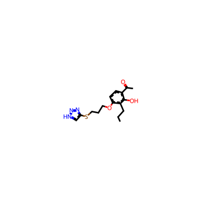 CCCc1c(OCCCSc2c[nH]nn2)ccc(C(C)=O)c1O